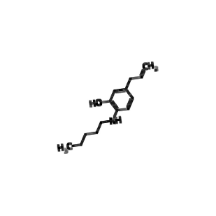 C=CCc1ccc(NCCCCC)c(O)c1